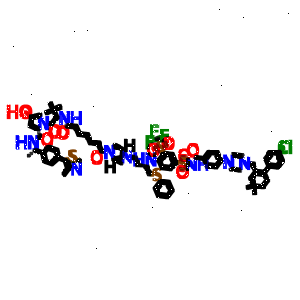 Cc1ncsc1-c1ccc([C@H](C)NC(=O)[C@@H]2C[C@@H](O)CN2C(=O)[C@@H](NC(=O)CCCCCC(=O)N2C[C@H]3C[C@@H]2CN3CC[C@H](CSc2ccccc2)Nc2ccc(S(=O)(=O)NC(=O)c3ccc(N4CCN(CC5=C(c6ccc(Cl)cc6)CCC(C)(C)C5)CC4)cc3)cc2S(=O)(=O)C(F)(F)F)C(C)(C)C)cc1